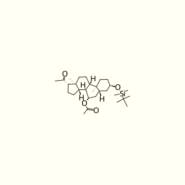 CC(=O)O[C@@H]1C[C@H]2C[C@H](O[Si](C)(C)C(C)(C)C)CC[C@]2(C)[C@H]2CC[C@]3(C)[C@@H](C(C)=O)CC[C@H]3[C@H]12